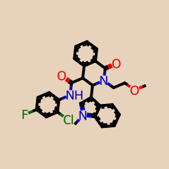 COCCN1C(=O)c2ccccc2C(C(=O)Nc2ccc(F)cc2Cl)C1c1cn(C)c2ccccc12